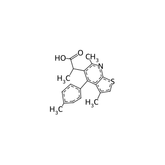 Cc1ccc(-c2c(C(C)C(=O)O)c(C)nc3scc(C)c23)cc1